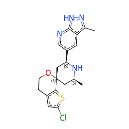 Cc1n[nH]c2ncc([C@@H]3C[C@]4(C[C@H](C)N3)OCCc3cc(Cl)sc34)cc12